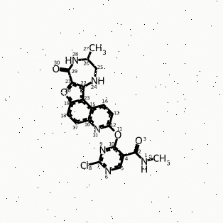 CNC(=O)c1cnc(Cl)nc1Oc1ccc2c(ccc3oc4c(c32)NCC(C)NC4=O)n1